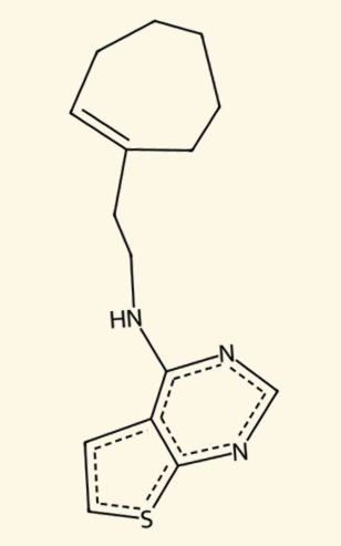 C1=C(CCNc2ncnc3sccc23)CCCCC1